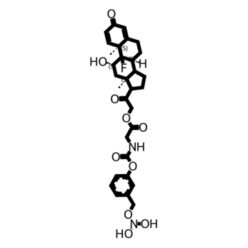 C[C@]12C[C@H](O)C3(F)[C@@H](CCC4=CC(=O)C=C[C@@]43C)C1CCC2C(=O)COC(=O)CNC(=O)Oc1cccc(CON(O)O)c1